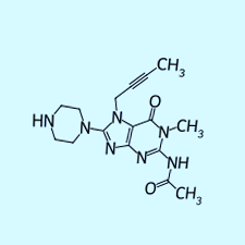 CC#CCn1c(N2CCNCC2)nc2nc(NC(C)=O)n(C)c(=O)c21